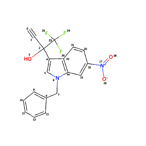 C#CC(O)(c1cn(Cc2ccccc2)c2cc([N+](=O)[O-])ccc12)C(F)(F)F